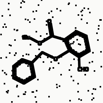 CC(C)(C)OC(=O)c1cccc(C=O)c1OCc1ccccc1